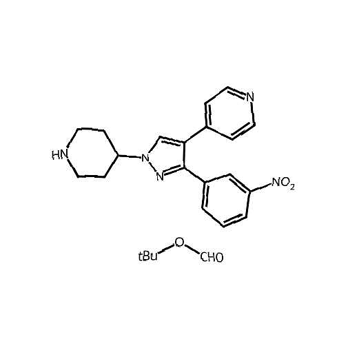 CC(C)(C)OC=O.O=[N+]([O-])c1cccc(-c2nn(C3CCNCC3)cc2-c2ccncc2)c1